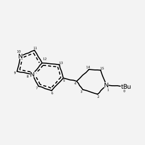 CC(C)(C)N1CCC(c2ccn3cncc3c2)CC1